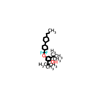 CCCC1CCC(C2CCC(C(F)(F)Oc3cc(C(C)(C)C)c(O)c(C(C)(C)C)c3)CC2)CC1